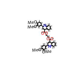 COc1ccc(-c2cc(C(=O)OCCOC(=O)c3cc(-c4ccc(OC)c(OC)c4)nc4ccccc34)c3ccccc3n2)cc1OC